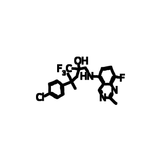 Cc1ncc2c(NCC(O)(CC(C)(C)c3ccc(Cl)cc3)C(F)(F)F)ccc(F)c2n1